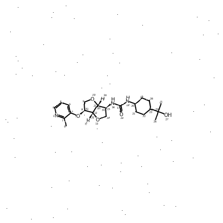 Cc1ncccc1O[C@H]1CO[C@H]2[C@@H]1OC[C@@H]2NC(=O)NC1CCC(C(C)(C)O)CC1